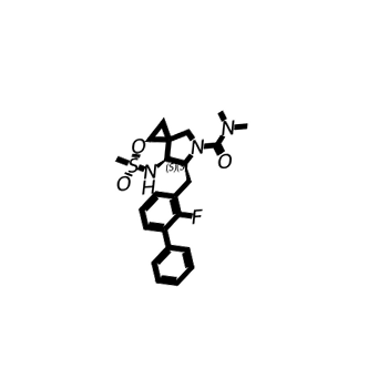 CN(C)C(=O)N1CC2(CC2)[C@H](NS(C)(=O)=O)[C@@H]1Cc1cccc(-c2ccccc2)c1F